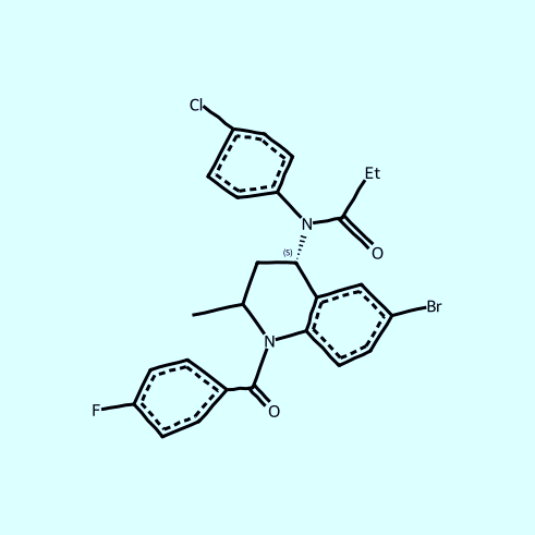 CCC(=O)N(c1ccc(Cl)cc1)[C@H]1CC(C)N(C(=O)c2ccc(F)cc2)c2ccc(Br)cc21